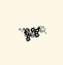 COC1(OC)C=CC(C(OC[C@H]2O[C@@](C(=O)c3ccccc3)(n3cnc4c(N)ncnc43)C[C@@H]2O)(c2ccccc2)c2ccccc2)=CC1